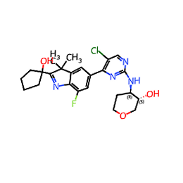 CC1(C)C(C2(O)CCCC2)=Nc2c(F)cc(-c3nc(N[C@@H]4CCOC[C@H]4O)ncc3Cl)cc21